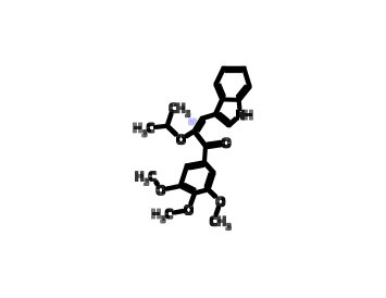 COc1cc(C(=O)/C(=C\c2c[nH]c3ccccc23)OC(C)C)cc(OC)c1OC